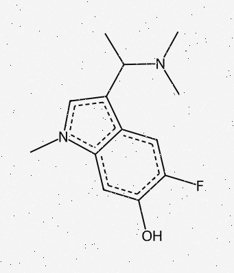 CC(c1cn(C)c2cc(O)c(F)cc12)N(C)C